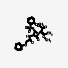 CO/C(C)=C(/C(=O)Cl)N1C(=O)C(NC(=O)COc2ccccc2)C1SS(=O)(=O)c1ccccc1OC